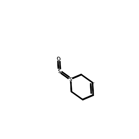 O=S=S1C[C]=CCC1